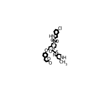 CC1Cc2nc(C(=O)N3CCN(S(=O)(=O)c4cc5cc(Cl)ccc5[nH]4)CC3CCOc3ccc4ccc(=O)oc4c3)sc2CN1